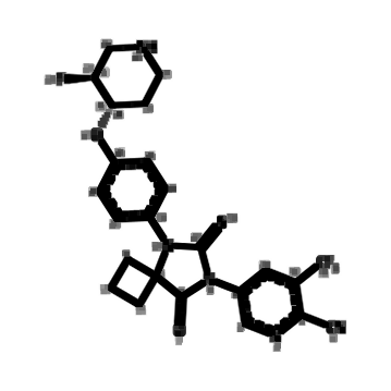 N#Cc1ncc(N2C(=O)C3(CCC3)N(c3ccc(O[C@H]4CCNC[C@@H]4F)cc3)C2=S)cc1C(F)(F)F